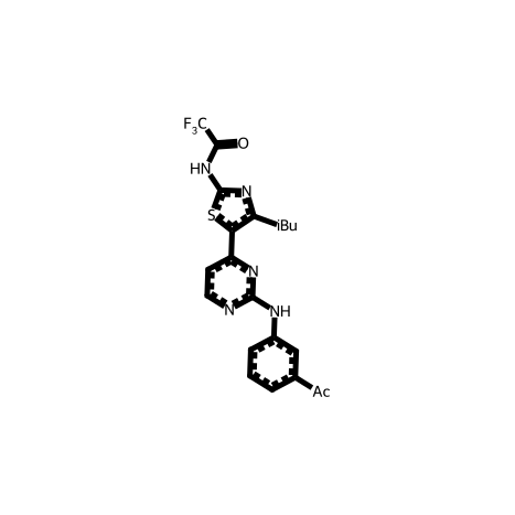 CCC(C)c1nc(NC(=O)C(F)(F)F)sc1-c1ccnc(Nc2cccc(C(C)=O)c2)n1